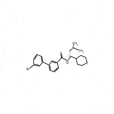 CCc1cccc(-c2cccc(C(=O)N[C@H](CN(C)C)C3CCCCC3)c2)c1